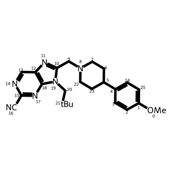 COc1ccc(C2CCN(Cc3nc4cnc(C#N)nc4n3CC(C)(C)C)CC2)cc1